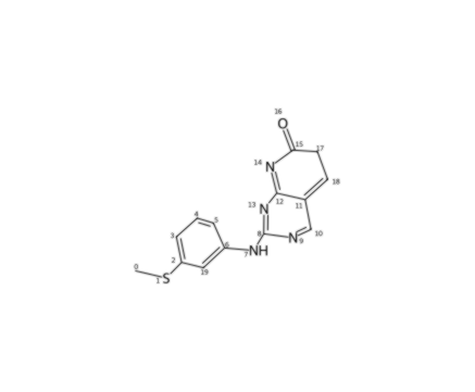 CSc1cccc(Nc2ncc3c(n2)=NC(=O)CC=3)c1